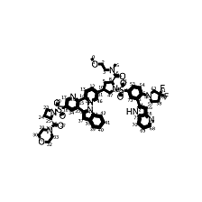 COCCN(C)C(=O)[C@@H]1CC(c2ccc(-c3ncc(S(=O)(=O)N4CC[C@H]4C(=O)N4CCOCC4)cc3-c3cc4ccccc4[nH]3)nc2)CN1S(=O)(=O)c1ccc(N2CCC(F)(F)C2)c(-c2cc3ncccc3[nH]2)c1